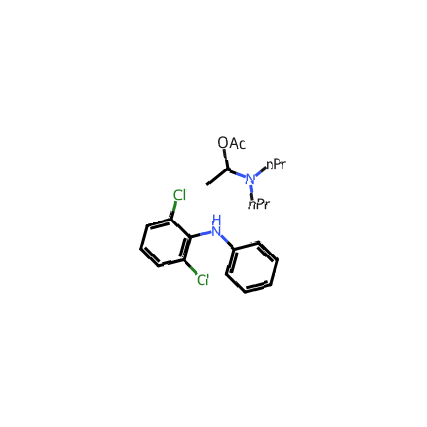 CCCN(CCC)C(C)OC(C)=O.Clc1cccc(Cl)c1Nc1ccccc1